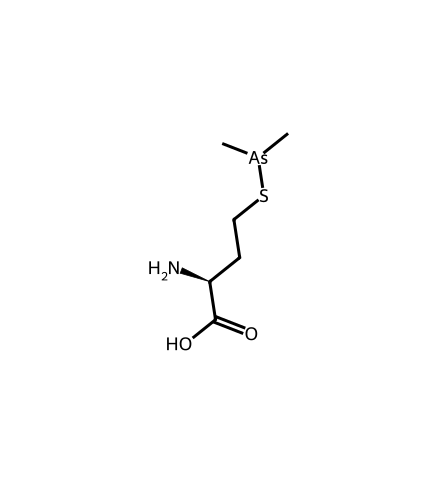 C[As](C)SCC[C@H](N)C(=O)O